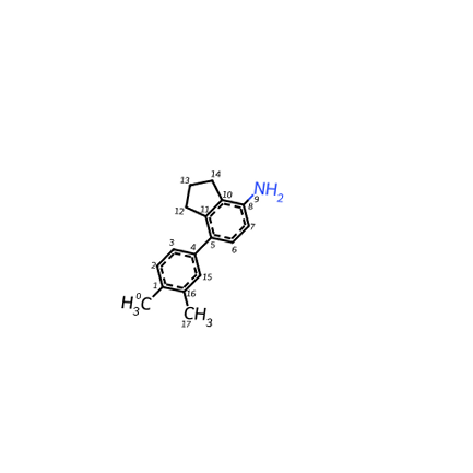 Cc1ccc(-c2ccc(N)c3c2CCC3)cc1C